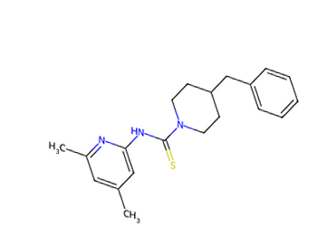 Cc1cc(C)nc(NC(=S)N2CCC(Cc3ccccc3)CC2)c1